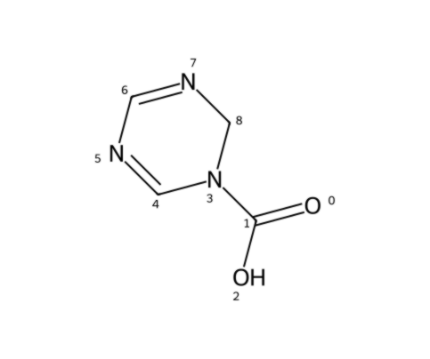 O=C(O)N1C=NC=NC1